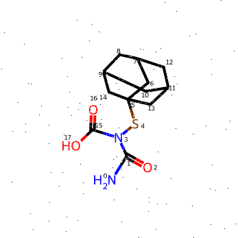 NC(=O)N(SC12CC3CC(CC(C3)C1)C2)C(=O)O